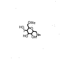 COCC1OC(CN(C)C)C(O)C(O)C1SO